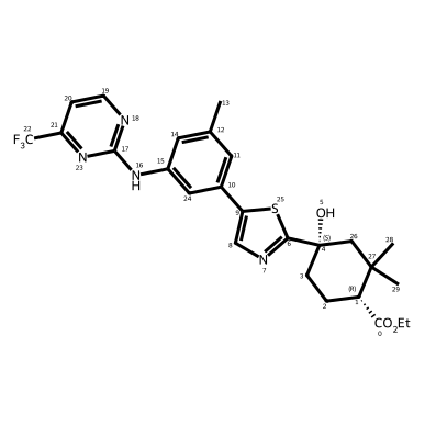 CCOC(=O)[C@@H]1CC[C@@](O)(c2ncc(-c3cc(C)cc(Nc4nccc(C(F)(F)F)n4)c3)s2)CC1(C)C